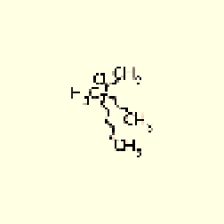 C=CC(=O)C(C)(CCCC)CCCCCC